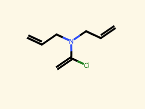 C=CCN(CC=C)C(=C)Cl